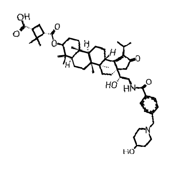 CC(C)C1=C2[C@H]3CC[C@@H]4[C@@]5(C)CC[C@H](OC(=O)[C@H]6C[C@@H](C(=O)O)C6(C)C)C(C)(C)[C@@H]5CC[C@@]4(C)[C@]3(C)CC[C@@]2([C@@H](O)CNC(=O)c2ccc(CN3CCC(O)CC3)cc2)CC1=O